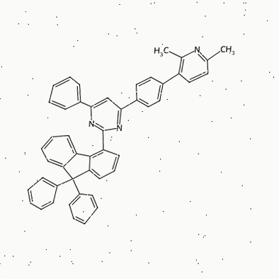 Cc1ccc(-c2ccc(-c3cc(-c4ccccc4)nc(-c4cccc5c4-c4ccccc4C5(c4ccccc4)c4ccccc4)n3)cc2)c(C)n1